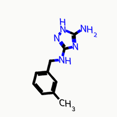 Cc1cccc(CNc2n[nH]c(N)n2)c1